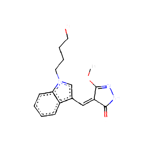 CC(C)OC1=NNC(=O)/C1=C/c1cn(CCCCO)c2ccccc12